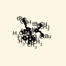 CC(C)(C)N(CCCc1ccc(N)cc1CO[Si](C)(C)C(C)(C)C)C(=O)O.Cc1sc2c(c1C)C(c1ccc(Cl)cc1)=N[C@@H](CC(=O)Nc1ccc(CCCNC(=O)OC(C)(C)C)c(CO[Si](C)(C)C(C)(C)C)c1)c1nnc(C)n1-2